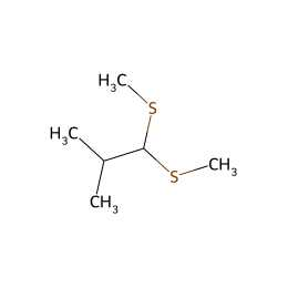 CSC(SC)C(C)C